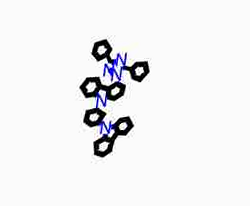 c1ccc(-c2nc(-c3ccccc3)n(-c3cccc4c3c3ccccc3n4-c3cccc(-n4c5ccccc5c5ccccc54)c3)n2)cc1